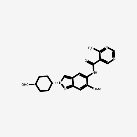 COc1cc2nn([C@H]3CC[C@H](C=O)CC3)cc2cc1NC(=O)c1cncnc1C(F)(F)F